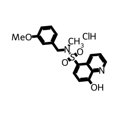 COc1cccc(CN(C)S(=O)(=O)c2ccc(O)c3ncccc23)c1.Cl